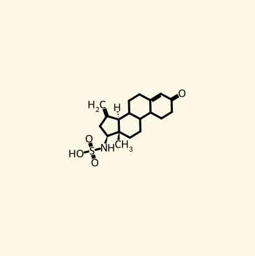 C=C1C[C@H](NS(=O)(=O)O)[C@@]2(C)CCC3C4CCC(=O)C=C4CCC3[C@H]12